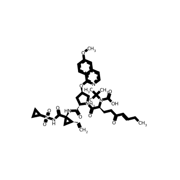 C=C[C@@H]1C[C@]1(NC(=O)[C@@H]1C[C@@H](Oc2nccc3cc(OC)ccc23)CN1C(=O)[C@H](CCC(=O)/C=C/CC)N(C(=O)O)C(C)(C)C)C(=O)NS(=O)(=O)C1CC1